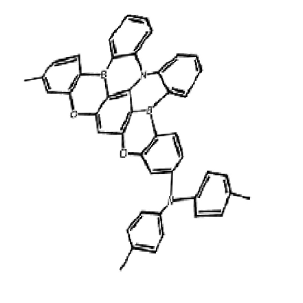 Cc1ccc(N(c2ccc(C)cc2)c2ccc3c(c2)Oc2cc4c5c6c2B3c2ccccc2N6c2ccccc2B5c2ccc(C)cc2O4)cc1